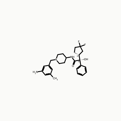 Cc1cc(N)cc(CN2CCC(NC(=O)[C@](O)(c3ccccc3)[C@@H]3CCC(F)(F)C3)CC2)c1